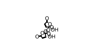 O=C1C=CC(OO)(OOC2(OO)C=CC(=O)O2)O1